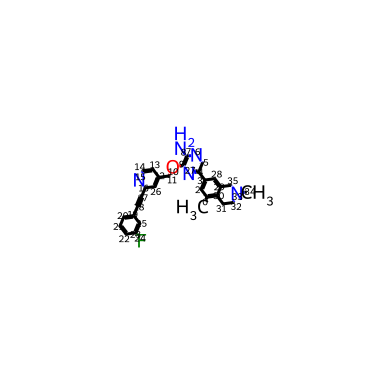 Cc1cc(-c2cnc(N)c(OCc3ccnc(C#Cc4cccc(F)c4)c3)n2)cc2c1CCN(C)C2